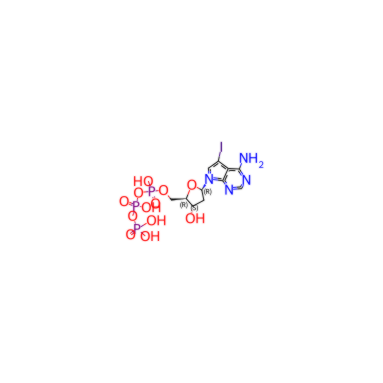 Nc1ncnc2c1c(I)cn2[C@H]1C[C@H](O)[C@@H](COP(=O)(O)OP(=O)(O)OP(=O)(O)O)O1